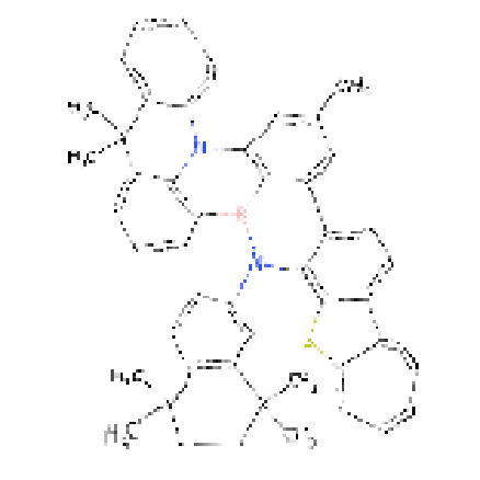 Cc1cc2c3c(c1)N1c4ccccc4C(C)(C)c4cccc(c41)B3N(c1ccc3c(c1)C(C)(C)CCC3(C)C)c1c-2ccc2c1sc1ccccc12